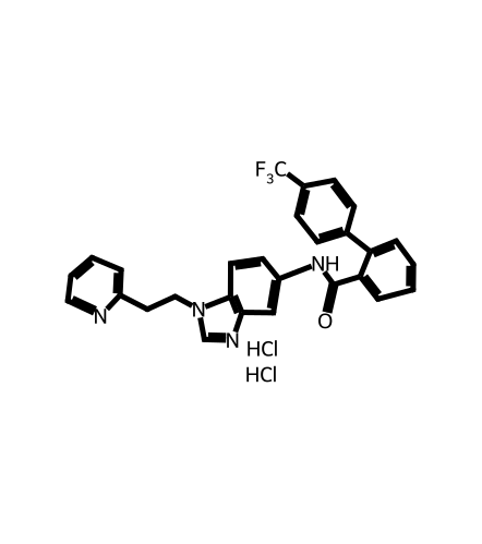 Cl.Cl.O=C(Nc1ccc2c(c1)ncn2CCc1ccccn1)c1ccccc1-c1ccc(C(F)(F)F)cc1